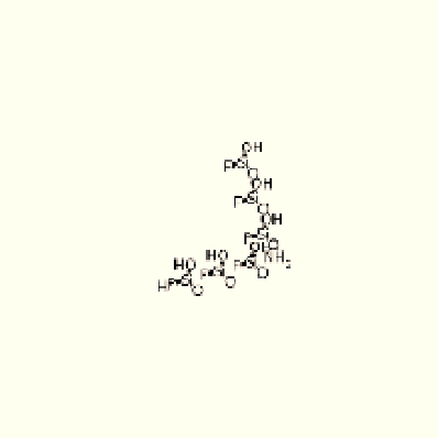 N.O=[Si](O)F.O=[Si](O)F.O=[Si](O)F.O=[Si](O)F.O=[Si](O)F.O=[Si](O)F.[H+]